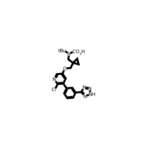 CC(C)(C)N(CC1(COc2cnc(Cl)c(-c3cccc(-c4nn[nH]n4)c3)c2)CC1)C(=O)O